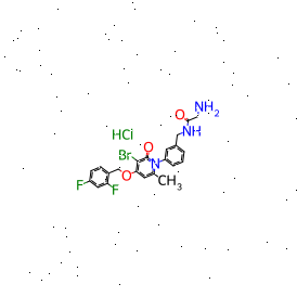 Cc1cc(OCc2ccc(F)cc2F)c(Br)c(=O)n1-c1cccc(CNC(=O)CN)c1.Cl